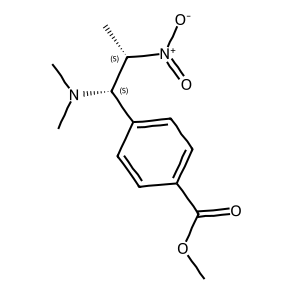 COC(=O)c1ccc([C@@H]([C@H](C)[N+](=O)[O-])N(C)C)cc1